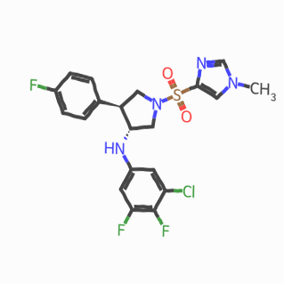 Cn1cnc(S(=O)(=O)N2C[C@H](Nc3cc(F)c(F)c(Cl)c3)[C@@H](c3ccc(F)cc3)C2)c1